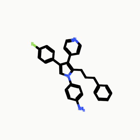 Nc1ccc(-n2cc(-c3ccc(F)cc3)c(-c3ccncc3)c2CCCc2ccccc2)cc1